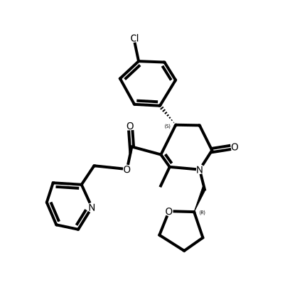 CC1=C(C(=O)OCc2ccccn2)[C@H](c2ccc(Cl)cc2)CC(=O)N1C[C@H]1CCCO1